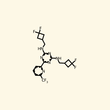 FC1(F)CC(CNc2nc(NCC3CC(F)(F)C3)nc(-c3cccc(C(F)(F)F)n3)n2)C1